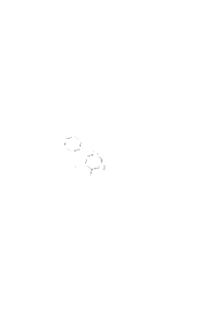 Cc1ccc2c(c1)CC(C)(C)c1c-2nc(SCC(F)(F)F)[nH]c1=O